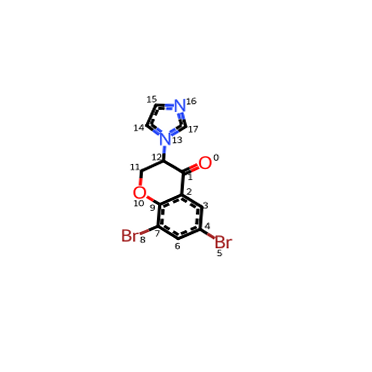 O=C1c2cc(Br)cc(Br)c2OCC1n1ccnc1